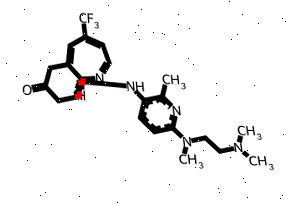 Cc1nc(N(C)CCN(C)C)ccc1NC1=NC=C2CC(=O)CC3=CC(C(F)(F)F)=CC=NC23N1